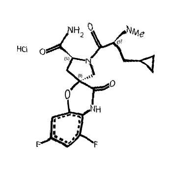 CN[C@@H](CC1CC1)C(=O)N1C[C@@]2(C[C@H]1C(N)=O)Oc1cc(F)cc(F)c1NC2=O.Cl